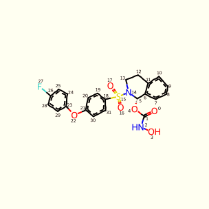 O=C(NO)O[C@H]1c2ccccc2CCN1S(=O)(=O)c1ccc(Oc2ccc(F)cc2)cc1